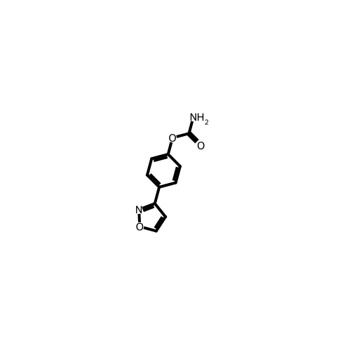 NC(=O)Oc1ccc(-c2ccon2)cc1